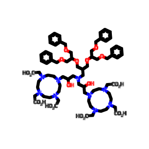 O=C(O)CN1CCN(CC(=O)O)CCN(CC(O)CN(CC(O)CN2CCN(CC(=O)O)CCN(CC(=O)O)CCN(CC(=O)O)CC2)CC(COC(COCc2ccccc2)COCc2ccccc2)COC(COCc2ccccc2)COCc2ccccc2)CCN(CC(=O)O)CC1